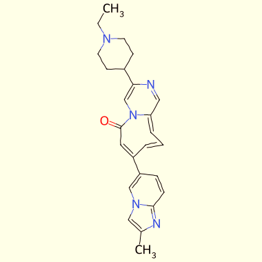 CCN1CCC(C2=CN3C(=O)\C=C(c4ccc5nc(C)cn5c4)/C=C/C=C/3C=N2)CC1